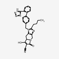 CCCCc1nc2c(n1Cc1ccc(-c3ccccc3-c3nnn[nH]3)cc1)CC1C(O)=C(C#N)C(=O)N1C2